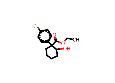 CCOC(=O)C1(c2ccc(Cl)cc2)CCCCC1O